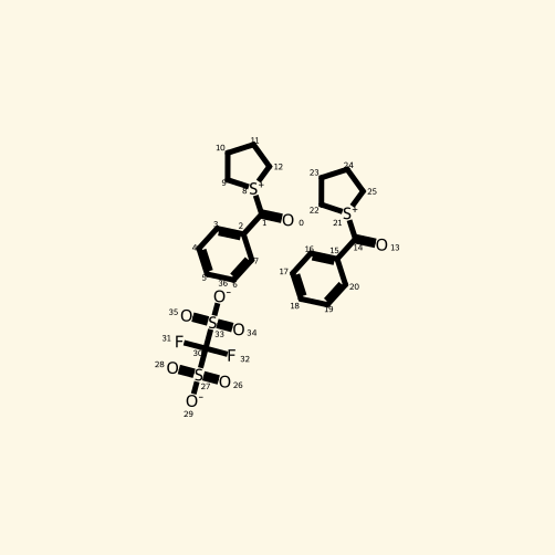 O=C(c1ccccc1)[S+]1CCCC1.O=C(c1ccccc1)[S+]1CCCC1.O=S(=O)([O-])C(F)(F)S(=O)(=O)[O-]